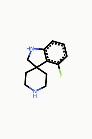 Fc1cccc2c1C1(CCNCC1)CN2